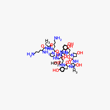 C[C@H](NC(=O)[C@@H](N)CCCCN)C(=O)N[C@@H](CCCCN)C(=O)N1CCC[C@H]1C(=O)N[C@@H](CO)C(=O)N[C@@H](Cc1ccc(O)cc1)C(=O)N1C[C@H](O)C[C@H]1C(=O)N1C[C@H](O)C[C@H]1C(=O)N[C@H](C(=O)N[C@@H](Cc1ccc(O)cc1)C(=O)N[C@@H](CCCCN)C(=O)O)[C@@H](C)O